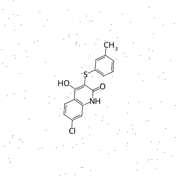 Cc1cccc(Sc2c(O)c3ccc(Cl)cc3[nH]c2=O)c1